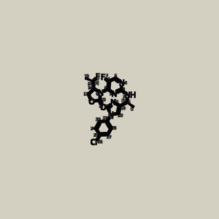 C[C@H](Nc1ncc(F)c(N2C(=O)OCC2[C@@H](C)F)n1)c1cn(-c2ccc(Cl)cc2)cn1